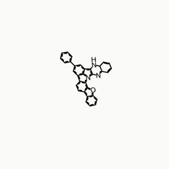 C1=CC2=Nc3c(c4cc(-c5ccccc5)cc5c6ccc7c8ccccc8oc7c6n3c45)NC2C=C1